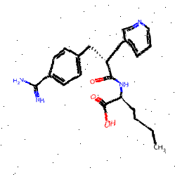 CCCC[C@H](NC(=O)[C@H](Cc1ccc(C(=N)N)cc1)c1cccnc1)C(=O)O